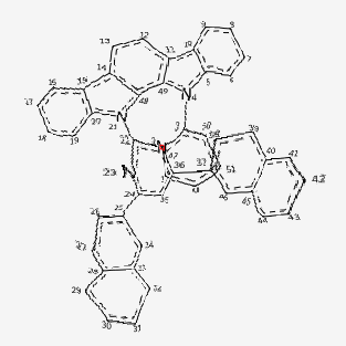 c1ccc(-n2c3ccccc3c3ccc4c5ccccc5n(-c5nc(-c6ccc7ccccc7c6)cc(-c6ccc7ccccc7c6)n5)c4c32)cc1